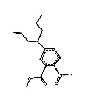 CCCN(CCC)c1ccc([N+](=O)[O-])c(C(=O)OC)c1